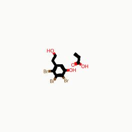 C=CC(=O)O.OCCc1cc(O)c(Br)c(Br)c1Br